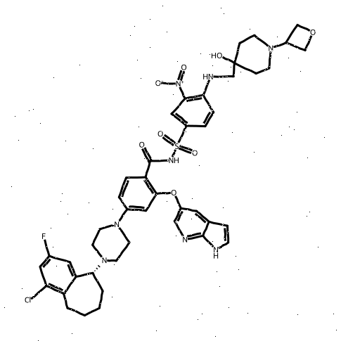 O=C(NS(=O)(=O)c1ccc(NCC2(O)CCN(C3COC3)CC2)c([N+](=O)[O-])c1)c1ccc(N2CCN([C@@H]3CCCCc4c(Cl)cc(F)cc43)CC2)cc1Oc1cnc2[nH]ccc2c1